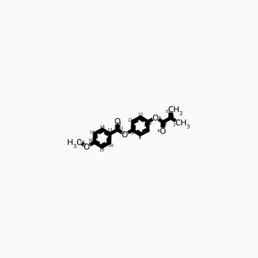 C=C(C)C(=O)Oc1ccc(OC(=O)c2ccc(OC)cc2)cc1